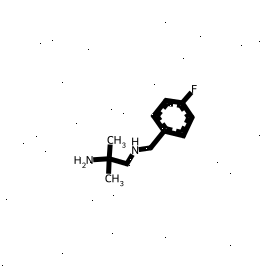 CC(C)(N)CNCc1ccc(F)cc1